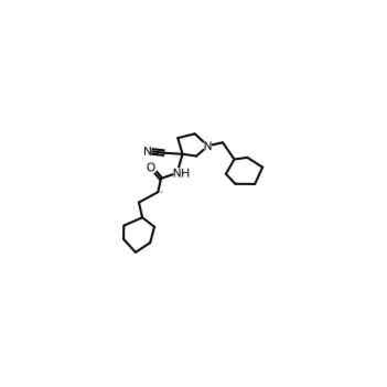 N#CC1(NC(=O)[CH]CC2CCCCC2)CCN(CC2CCCCC2)C1